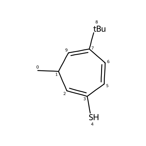 CC1C=C(S)C=CC(C(C)(C)C)=C1